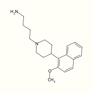 COc1ccc2ccccc2c1C1CCN(CCCCN)CC1